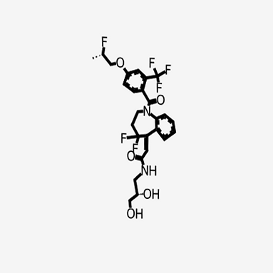 C[C@H](F)COc1ccc(C(=O)N2CCC(F)(F)C(=CC(=O)NC[C@H](O)CO)c3ccccc32)c(C(F)(F)F)c1